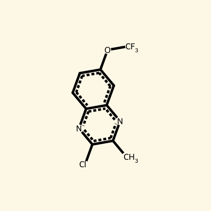 Cc1nc2cc(OC(F)(F)F)ccc2nc1Cl